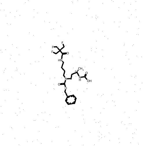 C[C@H](CCN(CCCCNC(=O)C(CF)(CF)CF)C(=O)OCc1ccccc1)NC(=O)O